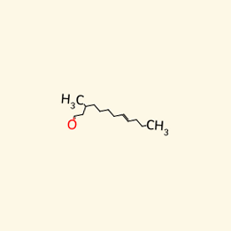 CCCC=CCCCCC(C)CC=O